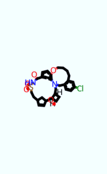 COC12C=CC(CCS(=O)(=O)NC(=O)c3ccc4c(c3)N(Cc3ccc(Cl)cc3CCCCO4)C[C@@H]3CC[C@H]31)C2